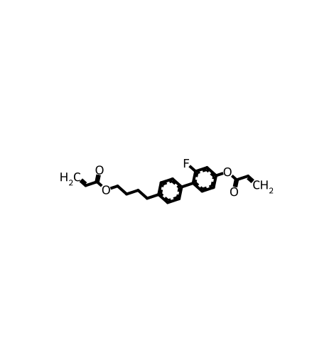 C=CC(=O)OCCCCc1ccc(-c2ccc(OC(=O)C=C)cc2F)cc1